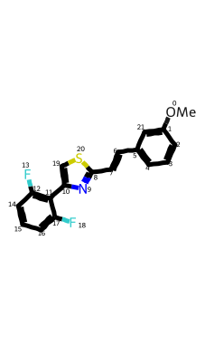 COc1cccc(/C=C/c2nc(-c3c(F)cccc3F)cs2)c1